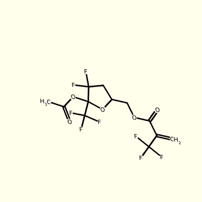 C=C(C(=O)OCC1CC(F)(F)C(OC(C)=O)(C(F)(F)F)O1)C(F)(F)F